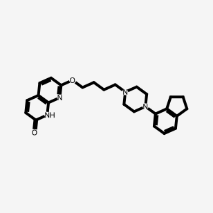 O=c1ccc2ccc(OCCCCN3CCN(c4cccc5c4CCC5)CC3)nc2[nH]1